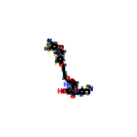 Cc1ncsc1-c1ccc(CNC(=O)[C@@H]2C[C@@H](O)CN2C(=O)C(NC(=O)COCC#CC#CCOc2ccc(N3C(=S)N(c4ccc(C#N)c(C(F)(F)F)c4)C(=O)C3(C)C)cc2F)C(C)(C)C)cc1